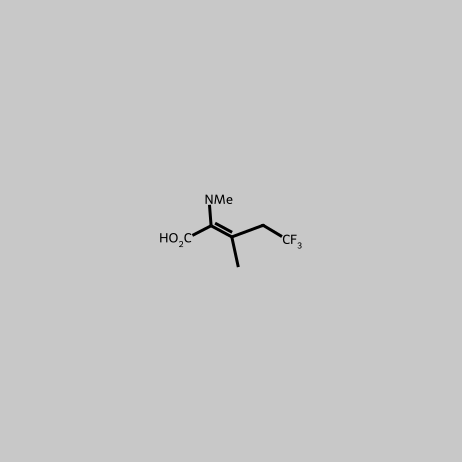 CNC(C(=O)O)=C(C)CC(F)(F)F